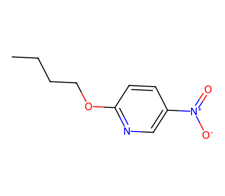 CCCCOc1ccc([N+](=O)[O-])cn1